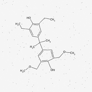 CCc1cc(C(C)(C)c2cc(COC)c(O)c(COC)c2)cc(CC)c1O